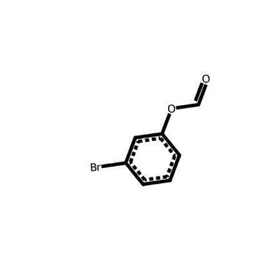 O=COc1cccc(Br)c1